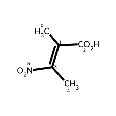 CC(C(=O)O)=C(C)[N+](=O)[O-]